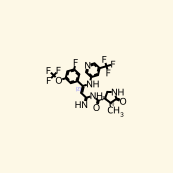 C[C@H]1C(=O)NC[C@@H]1C(=O)NC(=N)/C=C(\Nc1cncc(C(F)(F)F)c1)c1cc(F)cc(OC(F)(F)F)c1